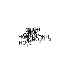 NCCCC[C@H](N)C(=O)N[C@@H](CO)C(=O)N[C@@H](CO)C(=O)N[C@@H](CO)C(=O)N[C@@H](CC(=O)O)C(=O)O